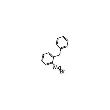 [Br][Mg][c]1ccccc1Cc1ccccc1